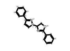 c1ccc(C2=NC(n3ccc(-c4ccccc4)n3)CO2)cc1